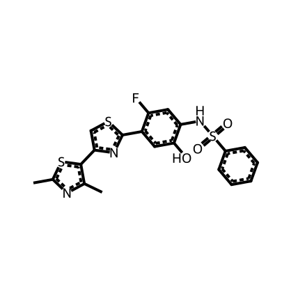 Cc1nc(C)c(-c2csc(-c3cc(O)c(NS(=O)(=O)c4ccccc4)cc3F)n2)s1